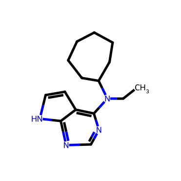 CCN(c1ncnc2[nH]ccc12)C1CCCCCC1